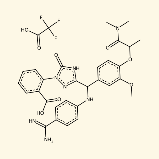 COc1cc(C(Nc2ccc(C(=N)N)cc2)c2nn(-c3ccccc3C(=O)O)c(=O)[nH]2)ccc1OC(C)C(=O)N(C)C.O=C(O)C(F)(F)F